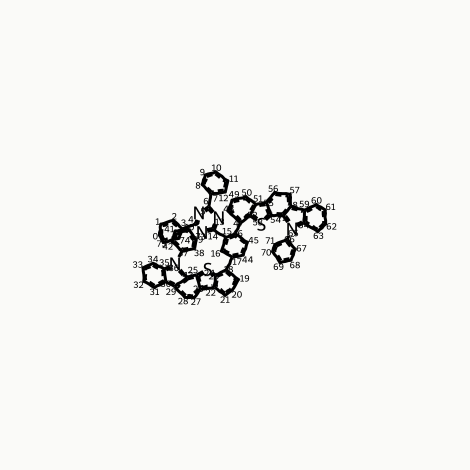 c1ccc(-c2nc(-c3ccccc3)nc(-c3cc(-c4cccc5c4sc4c5ccc5c6ccccc6n(-c6ccccc6)c54)ccc3-c3cccc4c3sc3c4ccc4c5ccccc5n(-c5ccccc5)c43)n2)cc1